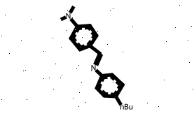 CCCCc1ccc(N=Cc2ccc(N(C)C)cc2)cc1